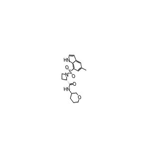 Cc1cc(S(=O)(=O)N2CC[C@H]2C(=O)N[C@@H]2CCCOC2)c2[nH]ccc2c1